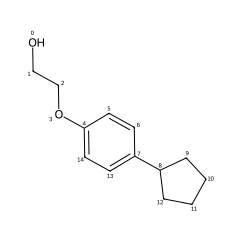 OCCOc1ccc(C2CCCC2)cc1